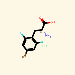 Cl.N[C@H](Cc1c(F)cc(Br)cc1F)C(=O)O